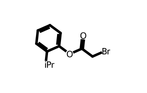 CC(C)c1ccccc1OC(=O)CBr